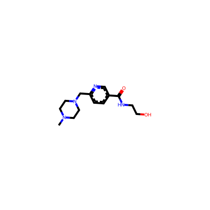 CN1CCN(Cc2ccc(C(=O)NCCO)cn2)CC1